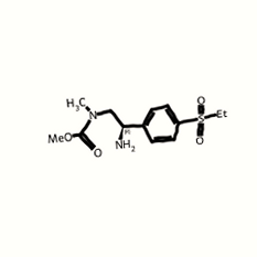 CCS(=O)(=O)c1ccc([C@@H](N)CN(C)C(=O)OC)cc1